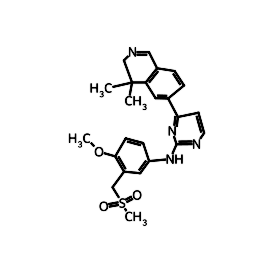 COc1ccc(Nc2nccc(-c3ccc4c(c3)C(C)(C)CN=C4)n2)cc1CS(C)(=O)=O